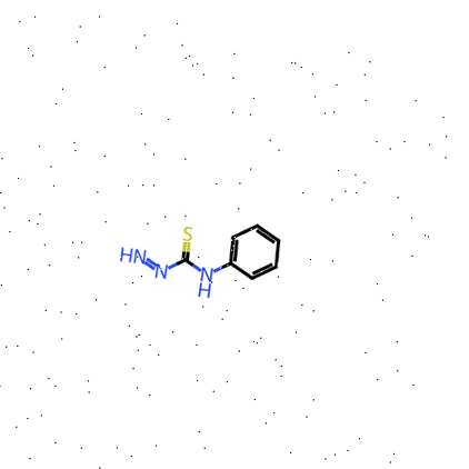 N=NC(=S)Nc1ccccc1